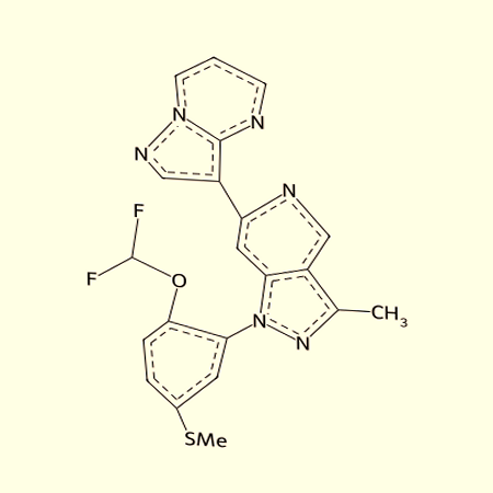 CSc1ccc(OC(F)F)c(-n2nc(C)c3cnc(-c4cnn5cccnc45)cc32)c1